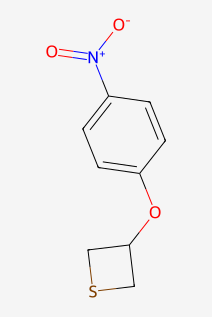 O=[N+]([O-])c1ccc(OC2CSC2)cc1